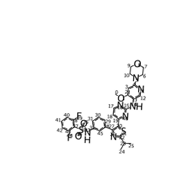 COc1cc(N2CCOCC2)ncc1Nc1nccc(-c2sc(C(C)C)nc2-c2cccc(NS(=O)(=O)c3c(F)cccc3F)c2)n1